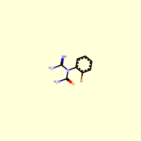 N=C(N)N(C(N)=O)c1ccccc1Br